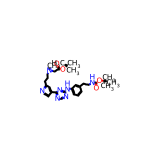 CN(CCCc1cc(-c2ncnc(Nc3cccc(CCNC(=O)OC(C)(C)C)c3)n2)ccn1)CC(=O)OC(C)(C)C